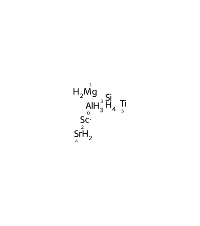 [AlH3].[MgH2].[Sc].[SiH4].[SrH2].[Ti]